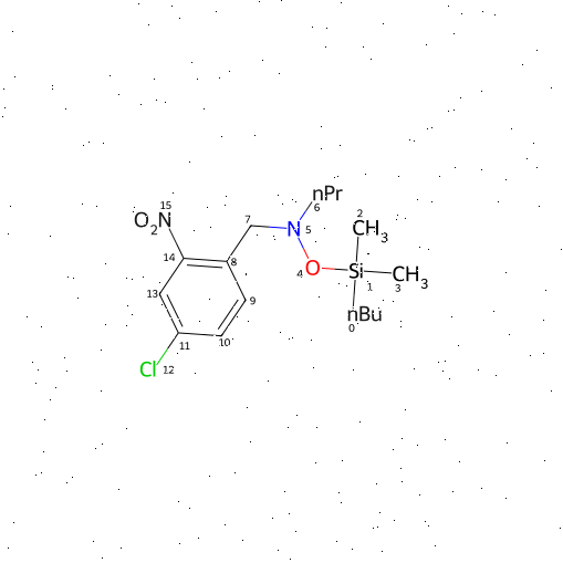 CCCC[Si](C)(C)ON(CCC)Cc1ccc(Cl)cc1[N+](=O)[O-]